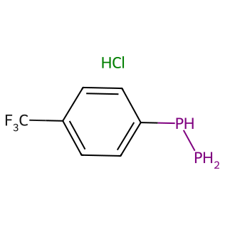 Cl.FC(F)(F)c1ccc(PP)cc1